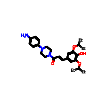 CCC(CC)Oc1cc(C=CC(=O)N2CCN(c3ccc(N)cc3)CC2)cc(OC(CC)CC)c1O